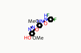 COc1cc2c(Oc3ccc(NC(=O)Nc4ccc(F)cc4F)c(OC)c3)ncnc2cc1O